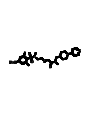 COc1cc(C)c(S(=O)(=O)N(C)CCSCC(=O)N(C)CC2CCN(c3ccncc3)CC2)c(C)c1